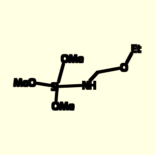 CCOCN[Si](OC)(OC)OC